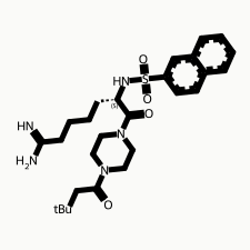 CC(C)(C)CC(=O)N1CCN(C(=O)[C@H](CCCCC(=N)N)NS(=O)(=O)c2ccc3ccccc3c2)CC1